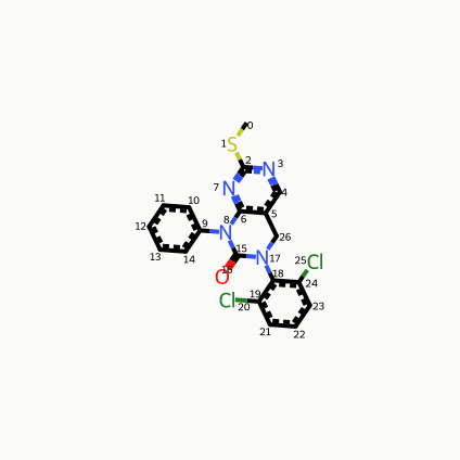 CSc1ncc2c(n1)N(c1ccccc1)C(=O)N(c1c(Cl)cccc1Cl)C2